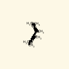 COC(=O)C(C)CC(=O)c1cc2cc(C/C=C/Cc3cc4cc(C(=O)CC(C)C(=O)OC)sc4cc3OC)c(OC)cc2s1